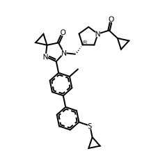 Cc1cc(-c2cccc(SC3CC3)c2)ccc1C1=NC2(CC2)C(=O)N1C[C@@H]1CCN(C(=O)C2CC2)C1